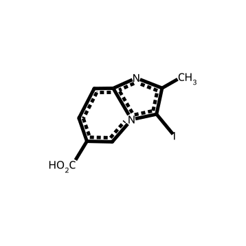 Cc1nc2ccc(C(=O)O)cn2c1I